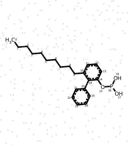 CCCCCCCCCCc1cccc(OP(O)O)c1-c1ccccc1